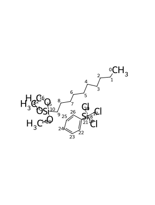 CCCCCCCCCC[Si](OC)(OC)OC.Cl[Si](Cl)(Cl)c1ccccc1